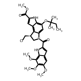 CCC(C)(C)Oc1cc2c(c3cc(C(=O)OC)[nH]c13)[C@H](CCl)CN2C(=O)c1cc2cc(OC)c(OC)c(OC)c2[nH]1